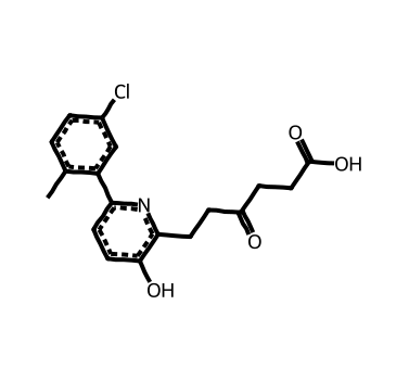 Cc1ccc(Cl)cc1-c1ccc(O)c(CCC(=O)CCC(=O)O)n1